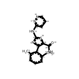 Cc1cccc(C)c1-c1nc(Nc2cccnn2)sc1C(N)=O